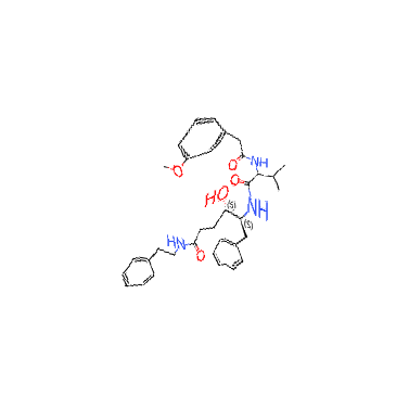 COc1cccc(CC(=O)NC(C(=O)N[C@@H](Cc2ccccc2)[C@@H](O)CCC(=O)NCCc2ccccc2)C(C)C)c1